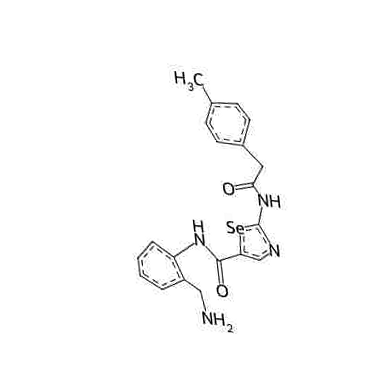 Cc1ccc(CC(=O)Nc2ncc(C(=O)Nc3ccccc3CN)[se]2)cc1